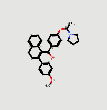 COc1ccc(C2=C(C(O)c3ccc(OC(C)N4CCCC4)cc3)c3ccccc3CC2)cc1